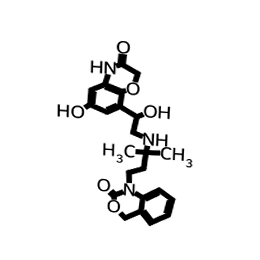 CC(C)(CCN1C(=O)OCc2ccccc21)NCC(O)c1cc(O)cc2c1OCC(=O)N2